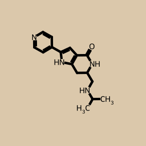 CC(C)NCC1Cc2[nH]c(-c3ccncc3)cc2C(=O)N1